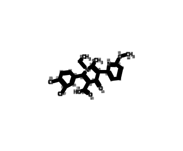 CCn1c(C)c(-c2cccc(OC)n2)c(=O)c(C(=O)O)c1-c1ccc(Cl)c(Cl)c1